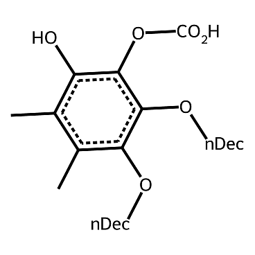 CCCCCCCCCCOc1c(C)c(C)c(O)c(OC(=O)O)c1OCCCCCCCCCC